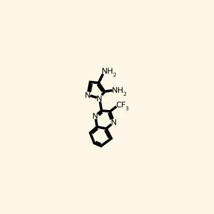 Nc1cnn(-c2nc3ccccc3nc2C(F)(F)F)c1N